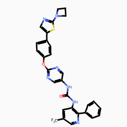 O=C(Nc1cnc(Oc2ccc(-c3cnc(N4CCC4)s3)cc2)nc1)Nc1cc(C(F)(F)F)cnc1-c1ccccc1